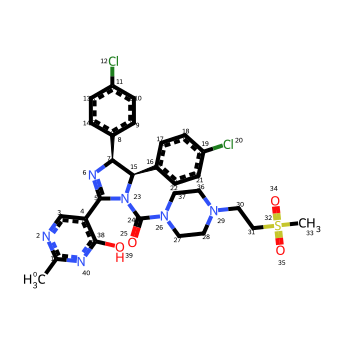 Cc1ncc(C2=N[C@@H](c3ccc(Cl)cc3)[C@@H](c3ccc(Cl)cc3)N2C(=O)N2CCN(CCS(C)(=O)=O)CC2)c(O)n1